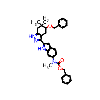 CN(C(=O)OCc1ccccc1)c1ccc2cc(-c3n[nH]c4c3CC(OCc3ccccc3)C(C)(C)C4)[nH]c2c1